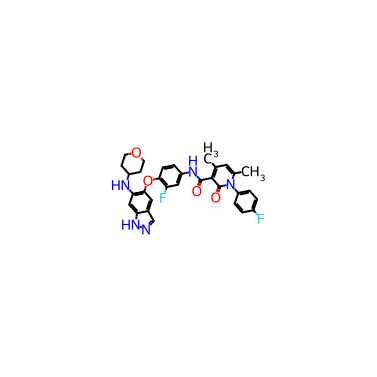 Cc1cc(C)n(-c2ccc(F)cc2)c(=O)c1C(=O)Nc1ccc(Oc2cc3cn[nH]c3cc2NC2CCOCC2)c(F)c1